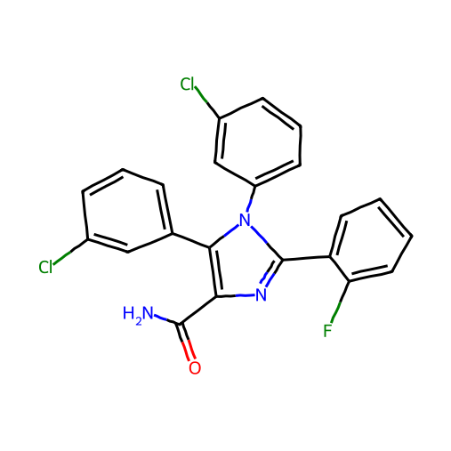 NC(=O)c1nc(-c2ccccc2F)n(-c2cccc(Cl)c2)c1-c1cccc(Cl)c1